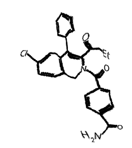 CCC(=O)C1=C(c2ccccc2)c2cc(Cl)ccc2CN1C(=O)c1ccc(C(N)=O)cc1